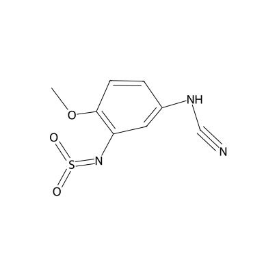 COc1ccc(NC#N)cc1N=S(=O)=O